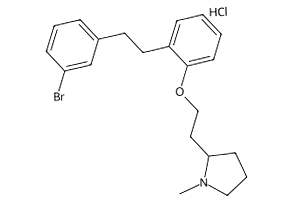 CN1CCCC1CCOc1ccccc1CCc1cccc(Br)c1.Cl